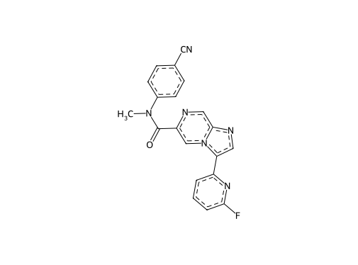 CN(C(=O)c1cn2c(-c3cccc(F)n3)cnc2cn1)c1ccc(C#N)cc1